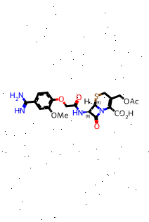 COc1cc(C(=N)N)ccc1OCC(=O)N[C@@H]1C(=O)N2C(C(=O)O)=C(COC(C)=O)CS[C@H]12